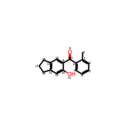 Cc1ccccc1C(=O)c1cc2c(cc1O)CCC2